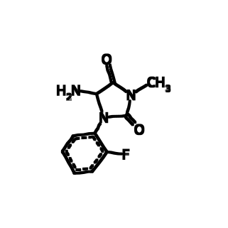 CN1C(=O)C(N)N(c2ccccc2F)C1=O